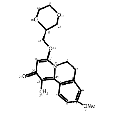 COc1ccc2c(c1)CCn1c(OC[C@@H]3COCCO3)cc(=O)c(C)c1-2